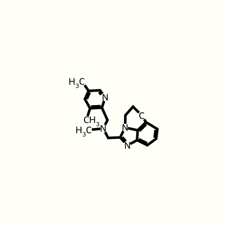 Cc1cnc(CN(C)Cc2nc3cccc4c3n2CCC4)c(C)c1